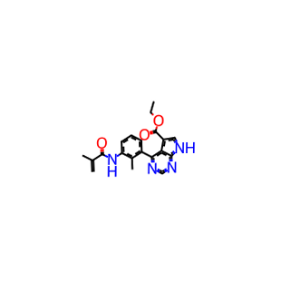 C=C(C)C(=O)Nc1cccc(-c2ncnc3[nH]cc(C(=O)OCC)c23)c1C